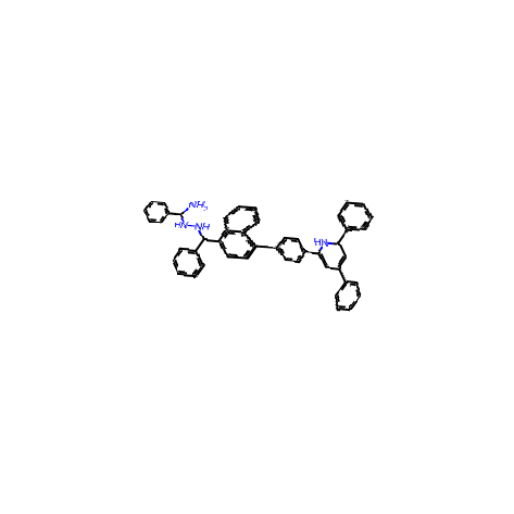 NC(NNC(c1ccccc1)c1ccc(-c2ccc(C3=CC(c4ccccc4)=CC(c4ccccc4)N3)cc2)c2ccccc12)c1ccccc1